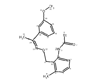 CCC(=O)Nc1cccc(C)c1CON=C(C)c1cccc(OC(F)(F)F)c1